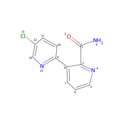 NC(=O)c1ncccc1-c1ccc(Cl)cn1